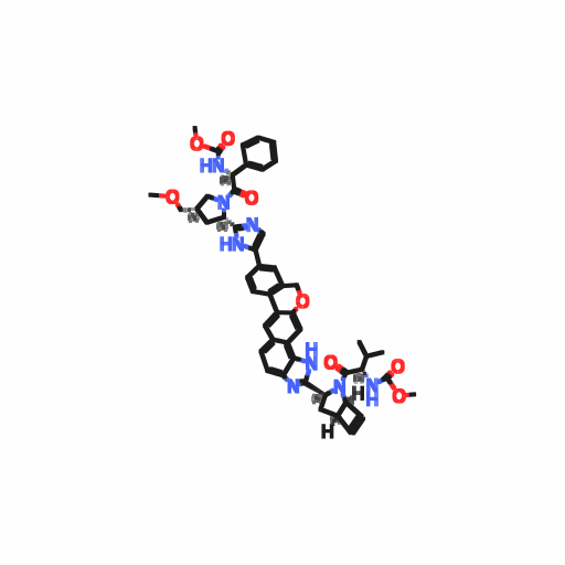 COC[C@H]1C[C@@H](c2ncc(-c3ccc4c(c3)COc3cc5c(ccc6nc([C@@H]7C[C@@H]8C#C[C@@H]8N7C(=O)[C@@H](NC(=O)OC)C(C)C)[nH]c65)cc3-4)[nH]2)N(C(=O)[C@H](NC(=O)OC)c2ccccc2)C1